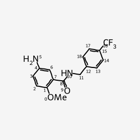 COc1ccc(N)cc1C(=O)NCc1ccc(C(F)(F)F)cc1